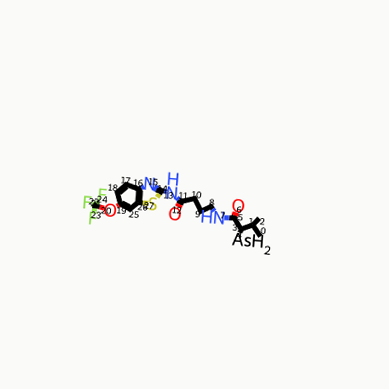 CC(C)C([AsH2])C(=O)NCCCC(=O)Nc1nc2ccc(OC(F)(F)F)cc2s1